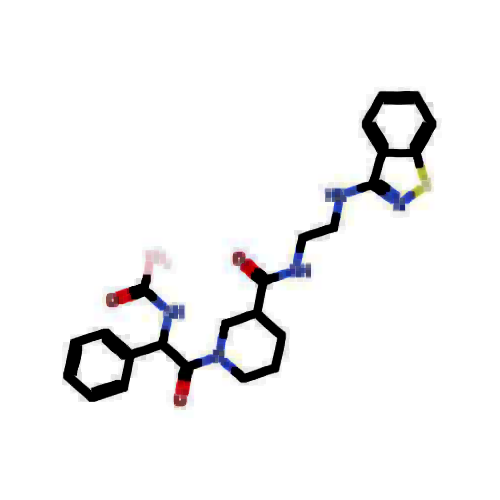 BC(=O)NC(C(=O)N1CCCC(C(=O)NCCNc2nsc3ccccc23)C1)c1ccccc1